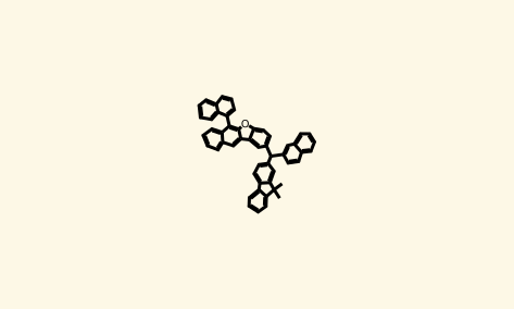 CC1(C)c2ccccc2-c2ccc(C(c3ccc4ccccc4c3)c3ccc4oc5c(-c6cccc7ccccc67)c6ccccc6cc5c4c3)cc21